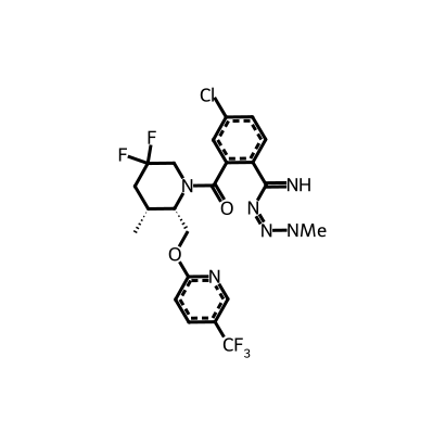 CN/N=N\C(=N)c1ccc(Cl)cc1C(=O)N1CC(F)(F)C[C@@H](C)[C@H]1COc1ccc(C(F)(F)F)cn1